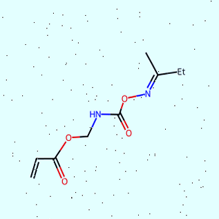 C=CC(=O)OCNC(=O)ON=C(C)CC